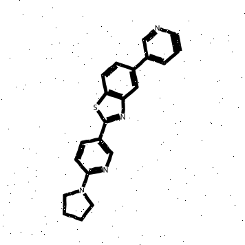 c1cc(-c2ccc3sc(-c4ccc(N5CCCC5)nc4)nc3c2)cnc#1